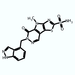 Cn1c2nc(S(N)(=O)=O)sc2c2cnn(Cc3cccc4[nH]ncc34)c(=O)c21